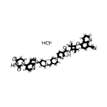 CC1(C)C(NC(=O)c2ccc(N3CCC(CN4CCC(n5ncc6c(N7CCC(=O)NC7=O)ccnc65)CC4)CC3)nc2)C(C)(C)C1Oc1ccc(C#N)c2ncccc12.Cl